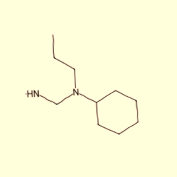 CCCN(C[NH])C1CCCCC1